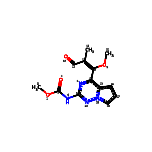 COC(=O)Nc1nc(/C(OC)=C(/C)C=O)c2cccn2n1